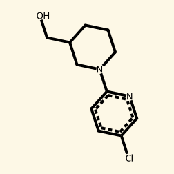 OCC1CCCN(c2ccc(Cl)cn2)C1